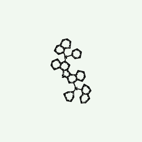 c1ccc(N(c2cccc3ccccc23)c2cc3c(sc4cc(N(c5ccccc5)c5cccc6ccccc56)c5ccccc5c43)c3ccccc23)cc1